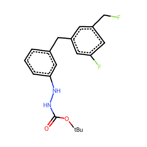 CC(C)(C)OC(=O)NNc1cccc(Cc2cc(F)cc(CF)c2)c1